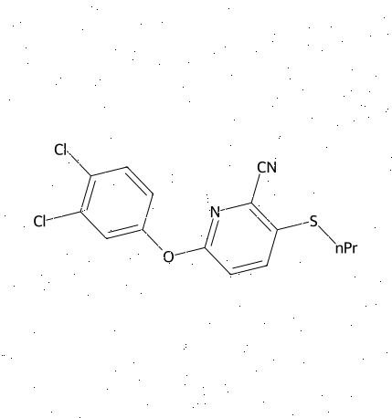 CCCSc1ccc(Oc2ccc(Cl)c(Cl)c2)nc1C#N